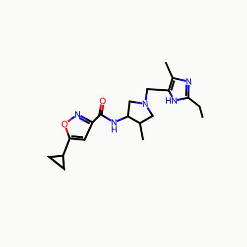 CCc1nc(C)c(CN2CC(C)C(NC(=O)c3cc(C4CC4)on3)C2)[nH]1